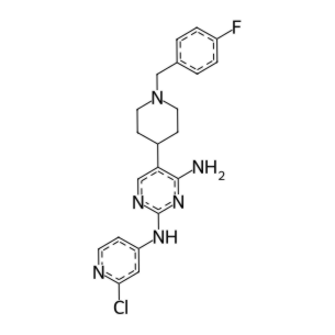 Nc1nc(Nc2ccnc(Cl)c2)ncc1C1CCN(Cc2ccc(F)cc2)CC1